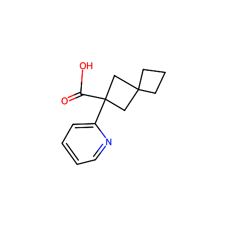 O=C(O)C1(c2ccccn2)CC2(CCC2)C1